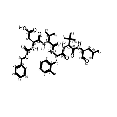 Cc1ccccc1C[C@H](NC(=O)[C@H](NC(=O)[C@H](CC(=O)O)NC(=O)OCc1ccccc1)C(C)C)C(=O)N[C@H](C(=O)N[C@H]([C]=O)CC(C)C)C(C)(C)C